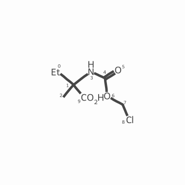 CCC(C)(NC(=O)OCCl)C(=O)O